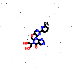 Cc1cccc(-c2ncc3c(n2)N(c2ncncc2C(=O)NC(CO)CO)CCO3)n1